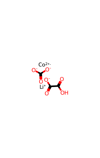 O=C([O-])C(=O)O.O=C([O-])[O-].[Co+2].[Li+]